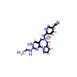 CCN[C@@H]1N=C2C(=CN1)C[N+]([O-])(Cc1ccc(C#N)cn1)CC1CCCN21